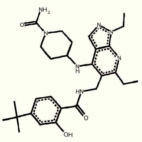 CCc1nc2c(cnn2CC)c(NC2CCN(C(N)=O)CC2)c1CNC(=O)c1ccc(C(C)(C)C)cc1O